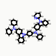 c1ccc(N(c2ccccc2)c2ccc3c(c2)c2ccccc2n3-c2ccc(N(c3ccccc3)c3ccc4c(c3)c3ccccc3n4-c3ccccn3)cc2)cc1